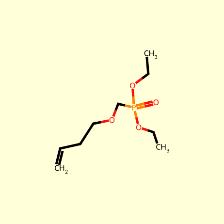 C=CCCOCP(=O)(OCC)OCC